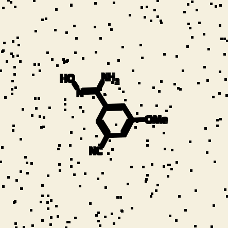 COc1cc(C#N)cc(C(N)=NO)c1